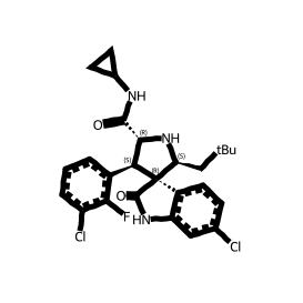 CC(C)(C)C[C@@H]1N[C@@H](C(=O)NC2CC2)[C@H](c2cccc(Cl)c2F)[C@]12C(=O)Nc1cc(Cl)ccc12